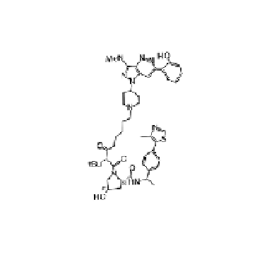 CNc1nn(C2CCN(CCCCCC(=O)C(C(=O)N3C[C@H](O)C[C@H]3C(=O)NC(C)c3ccc(-c4scnc4C)cc3)C(C)(C)C)CC2)c2cc(-c3ccccc3O)nnc12